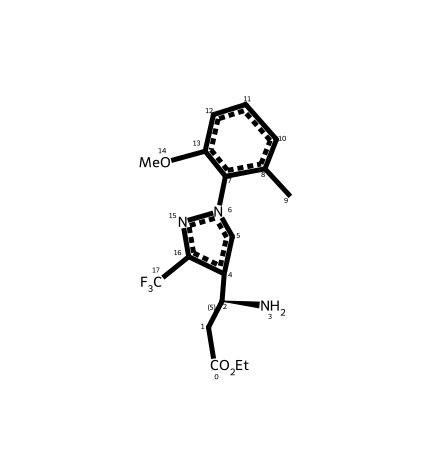 CCOC(=O)C[C@H](N)c1cn(-c2c(C)cccc2OC)nc1C(F)(F)F